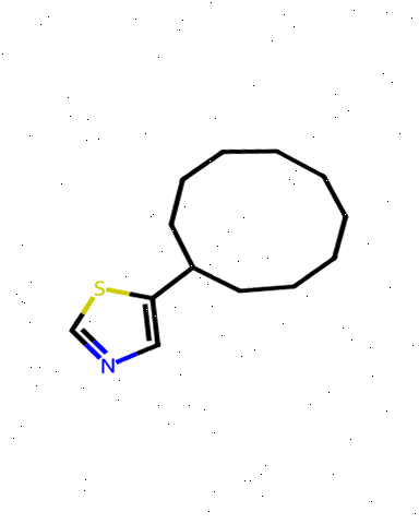 c1ncc(C2CCCCCCCCC2)s1